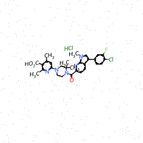 Cc1cc(N2CCN(C(=O)c3ccc4c(-c5ccc(Cl)c(F)c5)cn(C)c4n3)C(C)(C)C2)nc(C)c1C(=O)O.Cl